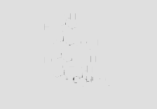 CC(CS)C(=O)O.CC(S)CC(=O)O.CC(S)CC(=O)O.CC(S)CC(=O)O.CC(S)CC(=O)O